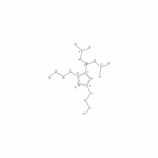 CCCCc1cc(P(CC(C)C)CC(C)C)c(CCCC)s1